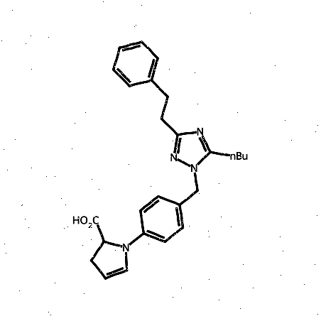 CCCCc1nc(CCc2ccccc2)nn1Cc1ccc(N2C=CCC2C(=O)O)cc1